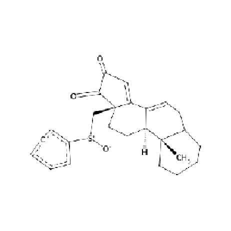 C[C@]12CCCCC1CC=C1C3=CC(=O)C(=O)[C@@]3(C[S+]([O-])c3ccccc3)CC[C@@H]12